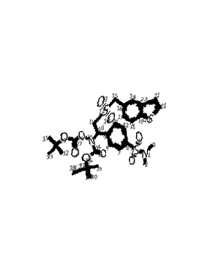 CN(C)S(=O)(=O)c1ccc(C(CS(=O)(=O)Cc2ccc3sccc3c2)N(OC(=O)OC(C)(C)C)C(=O)OC(C)(C)C)cc1